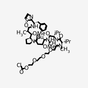 CC[C@H](C)C([C@@H](CC(=O)N1CCC[C@H]1[C@H](OC)[C@@H](C)C(=O)N[C@@H](Cc1ccccc1)c1nccs1)OC)N(C)C(=O)[C@@H](NC(=O)[C@H](C(C)C)N(C)CCOCCOCCOCCOC(=O)Cl)C(C)C